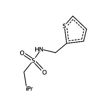 CC(C)CS(=O)(=O)NCc1cccs1